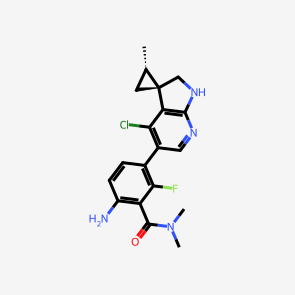 C[C@H]1C[C@]12CNc1ncc(-c3ccc(N)c(C(=O)N(C)C)c3F)c(Cl)c12